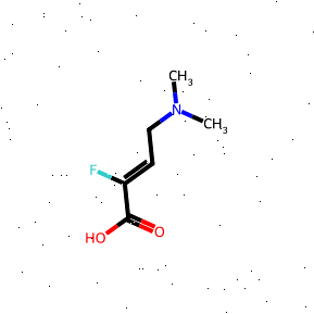 CN(C)C/C=C(\F)C(=O)O